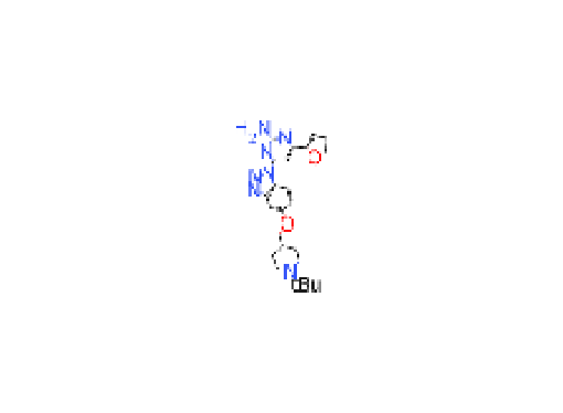 CC(C)(C)N1CCC(COc2ccc3c(c2)nnn3-c2cc(-c3ccco3)nc(N)n2)CC1